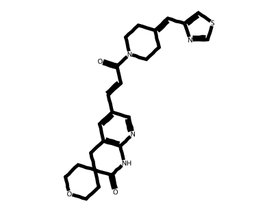 O=C(C=Cc1cnc2c(c1)CC1(CCOCC1)C(=O)N2)N1CCC(=Cc2cscn2)CC1